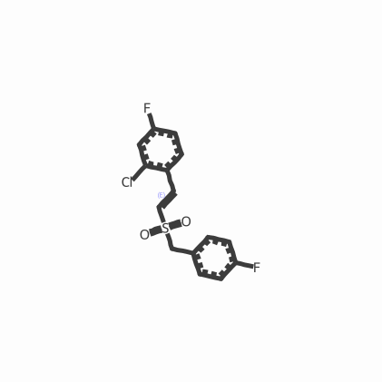 O=S(=O)(/C=C/c1ccc(F)cc1Cl)Cc1ccc(F)cc1